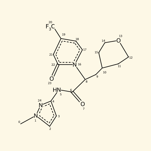 Cn1ccc(NC(=O)C(CC2CCOCC2)n2ccc(C(F)(F)F)cc2=O)n1